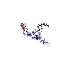 COc1ccc(-c2cc3nc(NCCCNC(=O)OC(C)(C)C)ccc3c(NCCCN)n2)cc1